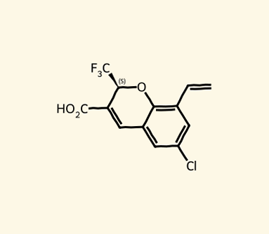 C=Cc1cc(Cl)cc2c1O[C@H](C(F)(F)F)C(C(=O)O)=C2